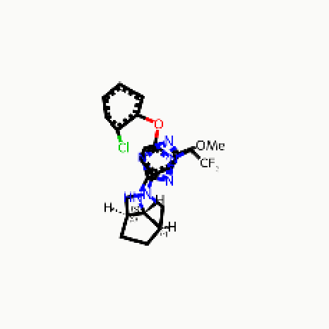 COc1cc(N2C[C@H]3CC[C@@H](C2)[C@@H]3Nc2nc(Oc3ccccc3Cl)n(CC(F)(F)F)n2)ccn1